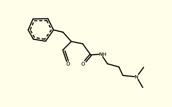 CN(C)CCCNC(=O)CC(C=O)Cc1ccccc1